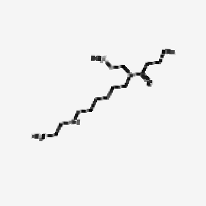 CCCCCCCCCCCCC(=O)N(CCCCCCNCCC(=O)O)CCC(=O)O